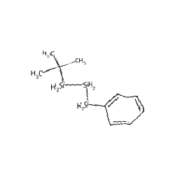 CC(C)(C)[SiH2][SiH2][SiH2]c1ccccc1